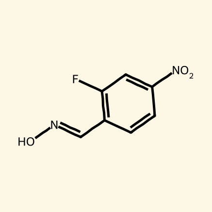 O=[N+]([O-])c1ccc(C=NO)c(F)c1